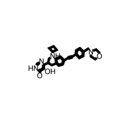 O=c1[nH]cnc(C(CNC2CCC2)Cc2ccc(C#Cc3ccc(CN4CCOCC4)cc3)cc2)c1O